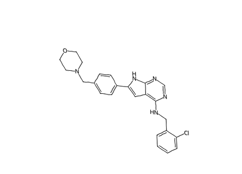 Clc1ccccc1CNc1ncnc2[nH]c(-c3ccc(CN4CCOCC4)cc3)cc12